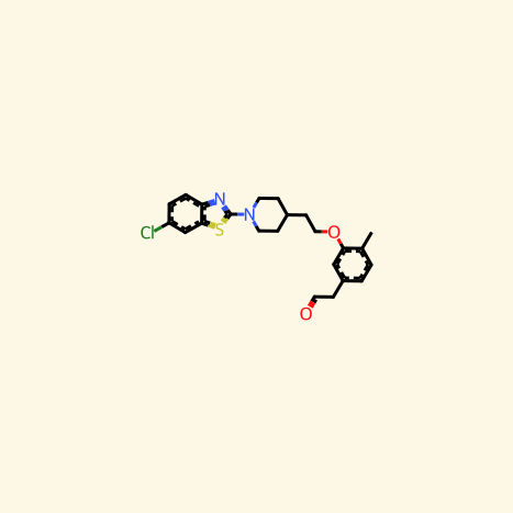 Cc1ccc(CC=O)cc1OCCC1CCN(c2nc3ccc(Cl)cc3s2)CC1